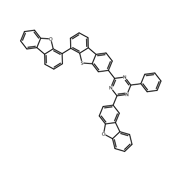 c1ccc(-c2nc(-c3ccc4c(c3)sc3c(-c5cccc6c5oc5ccccc56)cccc34)nc(-c3ccc4oc5ccccc5c4c3)n2)cc1